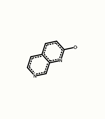 [O]c1ccc2ccncc2n1